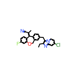 CCc1nc2cc(Cl)ccn2c1Cc1ccc2c(c1)COc1cc(F)ccc1C2=C(C)C#N